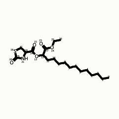 CCCCCCCCCCCCC(OC(=O)C1CSC(=O)N1)C(=O)OCC